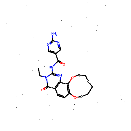 CCn1c(NC(=O)c2cnc(N)nc2)nc2c3c(ccc2c1=O)OCCCCCCO3